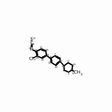 CC1CCC(c2ccc(-c3ccc(N=C=S)c(Cl)c3)cc2)CC1